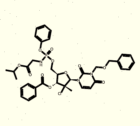 CC(C)OC(=O)CNP(=O)(OC[C@H]1O[C@@H](n2ccc(=O)n(COCc3ccccc3)c2=O)[C@](C)(Cl)[C@@H]1OC(=O)c1ccccc1)Oc1ccccc1